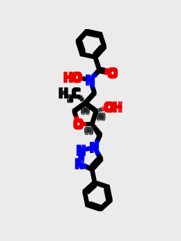 C[C@@]1(CN(O)C(=O)c2ccccc2)CO[C@H](Cn2cc(-c3ccccc3)nn2)[C@H]1O